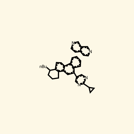 CCCCC1CCCc2c1ccc1c2cc(-c2cnc(C3CC3)nc2)c2ccccc21.c1cc2ccncc2cn1